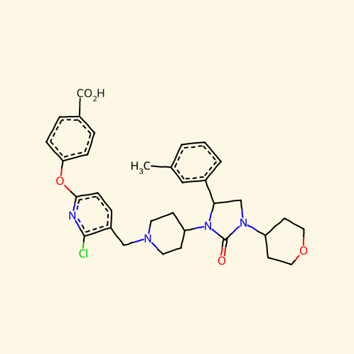 Cc1cccc(C2CN(C3CCOCC3)C(=O)N2C2CCN(Cc3ccc(Oc4ccc(C(=O)O)cc4)nc3Cl)CC2)c1